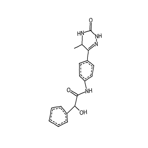 CC1NC(=O)NN=C1c1ccc(NC(=O)C(O)c2ccccc2)cc1